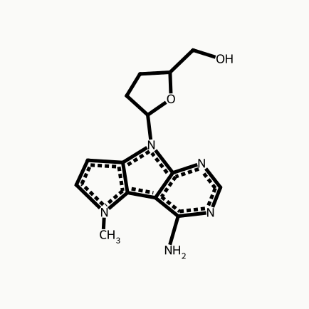 Cn1ccc2c1c1c(N)ncnc1n2C1CCC(CO)O1